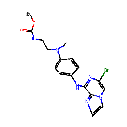 CN(CCNC(=O)OC(C)(C)C)c1ccc(Nc2nc(Br)cn3ccnc23)cc1